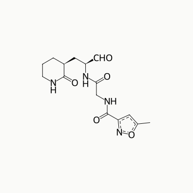 Cc1cc(C(=O)NCC(=O)N[C@H](C=O)C[C@@H]2CCCNC2=O)no1